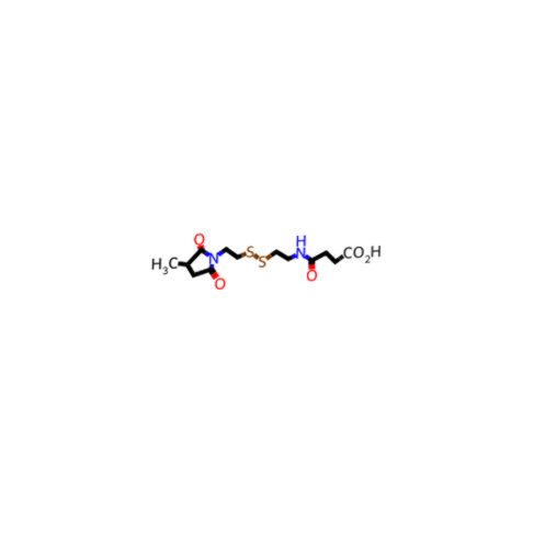 CC1CC(=O)N(CCSSCCNC(=O)CCC(=O)O)C1=O